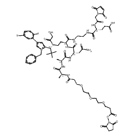 C[C@H](NC(=O)CCOCCOCCOCCC(=O)ON1C(=O)CCC1=O)C(=O)N[C@@H](C)C(=O)N[C@@H](CC(N)=O)C(=O)N[C@@H](CCN(C(=O)CO)[C@@H](c1cc(-c2cc(F)ccc2F)cn1Cc1ccccc1)C(C)(C)C)C(=O)NCCNC(=O)[C@@H](CCC(=O)O)NC(=O)CN1C(=O)C=CC1=O